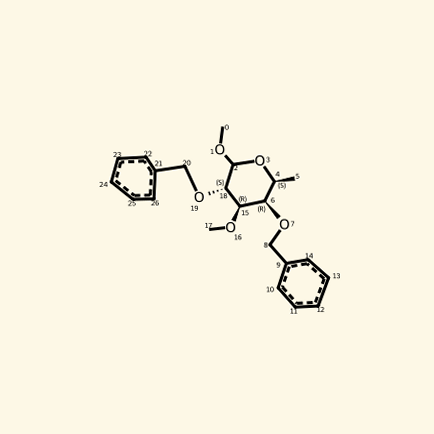 COC1O[C@@H](C)[C@@H](OCc2ccccc2)[C@@H](OC)[C@@H]1OCc1ccccc1